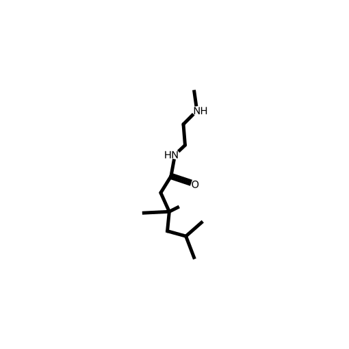 CNCCNC(=O)CC(C)(C)CC(C)C